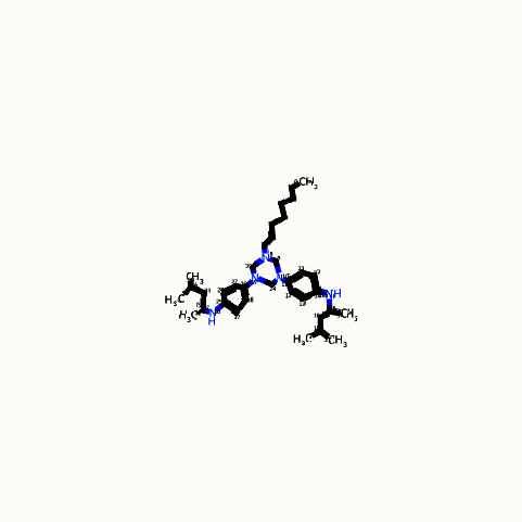 CCCCCCCCN1CN(c2ccc(NC(C)CC(C)C)cc2)CN(c2ccc(N[C@@H](C)CC(C)C)cc2)C1